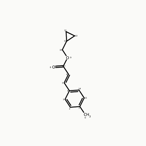 Cc1ccc(/C=C/C(=O)OCC2CC2)cc1